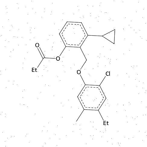 CCC(=O)Oc1cccc(C2CC2)c1COc1cc(C)c(CC)cc1Cl